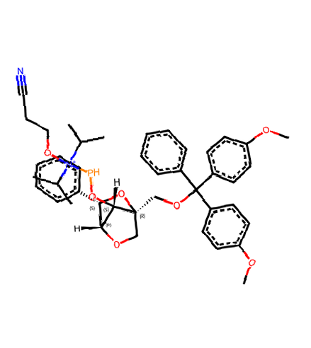 COc1ccc(C(OC[C@@]23CO[C@H]([C@H](c4ccccc4)O2)[C@@H]3OP[N+](OCCC#N)(C(C)C)C(C)C)(c2ccccc2)c2ccc(OC)cc2)cc1